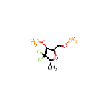 C[C@@H]1O[C@H](COP)[C@H](OP)C1(F)F